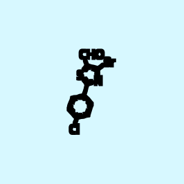 O=Cc1sc(-c2ccc(Cl)cc2)nc1Br